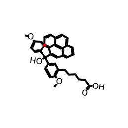 COc1ccc(C(O)(c2ccc(OC)c(CCCCCC(=O)O)c2)c2cc3cccc4ccc5cccc2c5c43)cc1